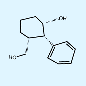 OC[C@@H]1CCC[C@H](O)[C@@H]1c1ccccc1